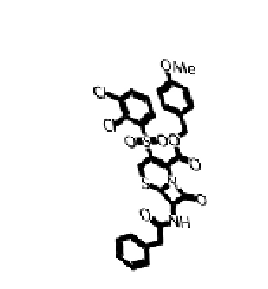 COc1ccc(COC(=O)C2=C(S(=O)(=O)c3cccc(Cl)c3Cl)CSC3C(NC(=O)Cc4ccccc4)C(=O)N23)cc1